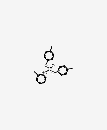 Cc1ccc(OP(=O)(O)Oc2ccc(C)cc2)cc1.Cc1ccccc1